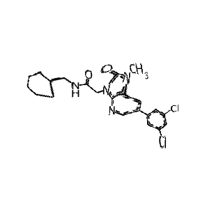 Cn1c(=O)n(CC(=O)NCC2CCCCC2)c2ncc(-c3cc(Cl)cc(Cl)c3)cc21